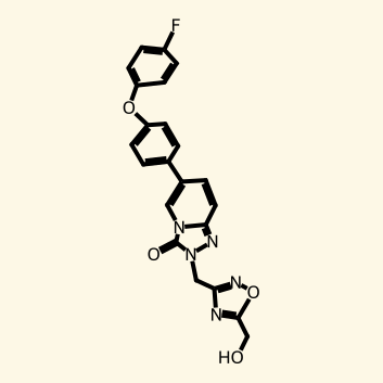 O=c1n(Cc2noc(CO)n2)nc2ccc(-c3ccc(Oc4ccc(F)cc4)cc3)cn12